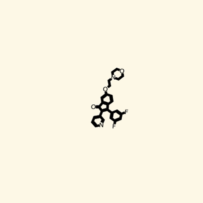 O=C1C(c2cccnc2)=C(c2cc(F)cc(F)c2)c2ccc(OCCN3CCOCC3)cc21